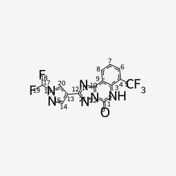 O=c1[nH]c2c(C(F)(F)F)cccc2c2nc(-c3cnn(C(F)F)c3)nn12